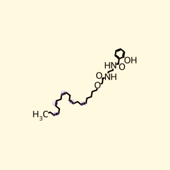 CC/C=C\C/C=C\C/C=C\C/C=C\C/C=C\CCCCOCC(=O)NCCNC(=O)c1ccccc1O